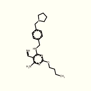 CCCCOc1nc(N)c(C=N)c(NCc2ccc(CN3CCCC3)cc2)n1